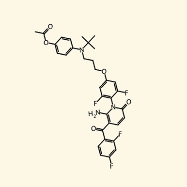 CC(=O)Oc1ccc(N(CCCOc2cc(F)c(-n3c(N)c(C(=O)c4ccc(F)cc4F)ccc3=O)c(F)c2)C(C)(C)C)cc1